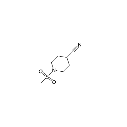 CS(=O)(=O)N1CCC(C#N)CC1